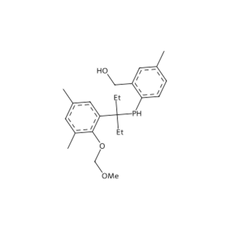 CCC(CC)(Pc1ccc(C)cc1CO)c1cc(C)cc(C)c1OCOC